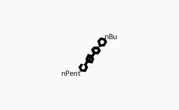 CCCCC[C@H]1CC[C@H](C23CCC(c4ccc([C@H]5CC[C@H](CCCC)CC5)cc4)(CC2)CC3)CC1